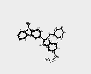 CCn1c2ccccc2c2cc(-c3nc4cc(OC(=O)O)ccc4n3CC3COCCO3)ccc21